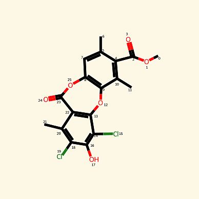 COC(=O)c1c(C)cc2c(c1C)Oc1c(Cl)c(O)c(Cl)c(C)c1C(=O)O2